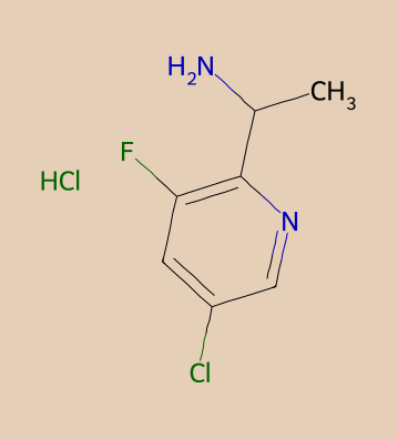 CC(N)c1ncc(Cl)cc1F.Cl